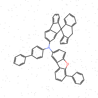 c1ccc(-c2ccc(N(c3ccc4c(c3)C3(c5ccccc5Cc5ccccc53)c3ccccc3-4)c3ccc4oc5c(-c6ccccc6)cccc5c4c3)cc2)cc1